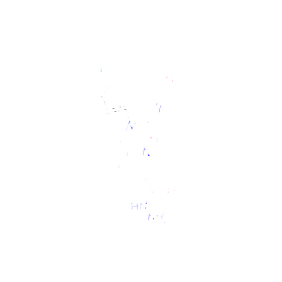 NNC(=O)c1ccc(CN(C(=O)N2CCOCC2)c2ccc(F)c(Cl)c2)nc1